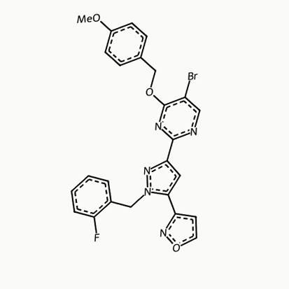 COc1ccc(COc2nc(-c3cc(-c4ccon4)n(Cc4ccccc4F)n3)ncc2Br)cc1